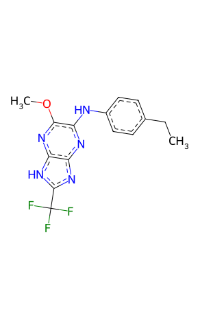 CCc1ccc(Nc2nc3nc(C(F)(F)F)[nH]c3nc2OC)cc1